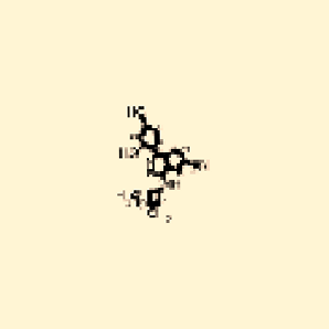 C#Cc1ccc(-c2nnc(NC3CC(C)(OC)C3)c3cc(C#N)ccc23)c(O)c1